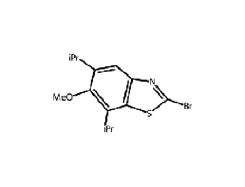 COc1c(C(C)C)cc2nc(Br)sc2c1C(C)C